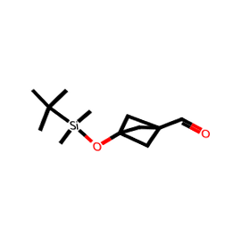 CC(C)(C)[Si](C)(C)OC12CC(C=O)(C1)C2